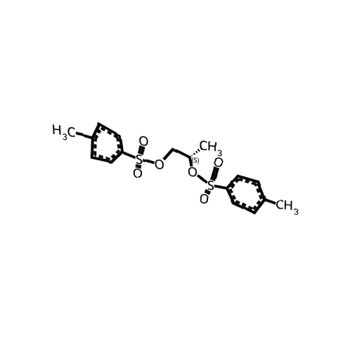 Cc1ccc(S(=O)(=O)OC[C@H](C)OS(=O)(=O)c2ccc(C)cc2)cc1